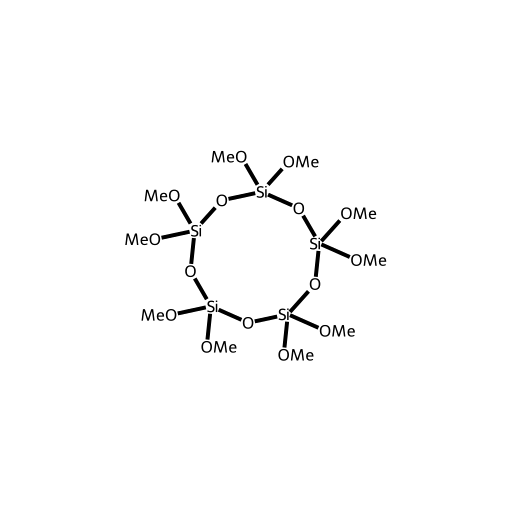 CO[Si]1(OC)O[Si](OC)(OC)O[Si](OC)(OC)O[Si](OC)(OC)O[Si](OC)(OC)O1